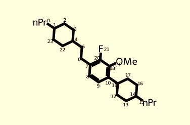 CCCC1CCC(CCc2ccc(C3CCC(CCC)CC3)c(OC)c2F)CC1